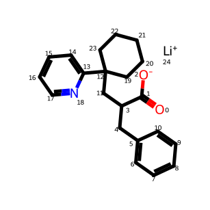 O=C([O-])C(Cc1ccccc1)CC1(c2ccccn2)CCCCC1.[Li+]